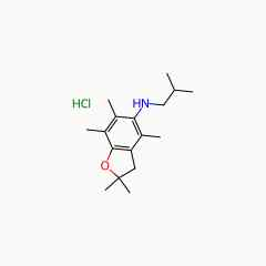 Cc1c(C)c2c(c(C)c1NCC(C)C)CC(C)(C)O2.Cl